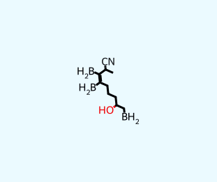 BCC(O)CCC/C(B)=C(/B)C(C)C#N